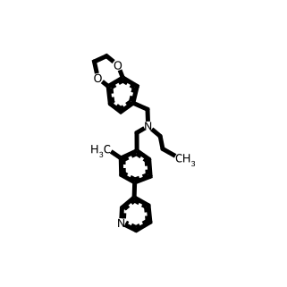 CCCN(Cc1ccc2c(c1)OCCO2)Cc1ccc(-c2cccnc2)cc1C